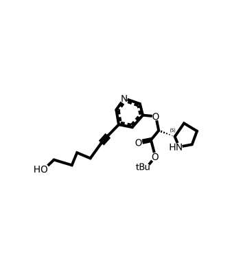 CC(C)(C)OC(=O)C(Oc1cncc(C#CCCCCO)c1)[C@@H]1CCCN1